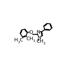 Cc1cccc(OCc2nc(-c3ccccc3)cn2C)c1C